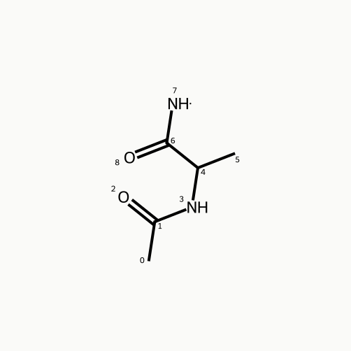 CC(=O)NC(C)C([NH])=O